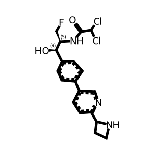 O=C(N[C@H](CF)[C@H](O)c1ccc(-c2ccc(C3CCN3)nc2)cc1)C(Cl)Cl